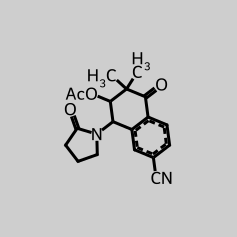 CC(=O)OC1C(N2CCCC2=O)c2cc(C#N)ccc2C(=O)C1(C)C